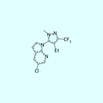 [CH2]Cc1c(C(F)(F)F)nn(C)c1-n1ccc2cc(Cl)cnc21